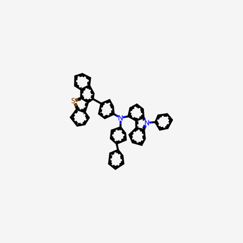 c1ccc(-c2ccc(N(c3ccc(-c4cc5ccccc5c5sc6ccccc6c45)cc3)c3cccc4c3c3ccccc3n4-c3ccccc3)cc2)cc1